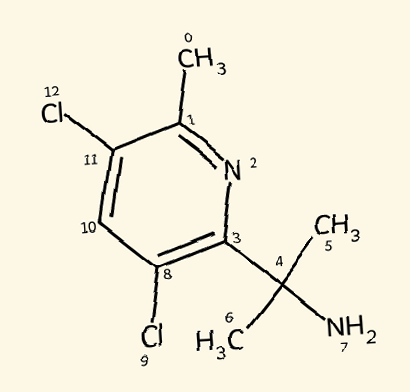 Cc1nc(C(C)(C)N)c(Cl)cc1Cl